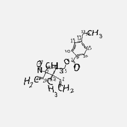 C=CC(C)(CCOC(=O)c1ccc(CC)cc1)C(C)(C=C)N=O